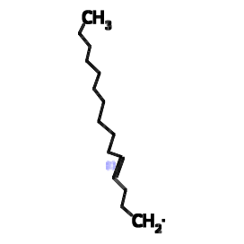 [CH2]CC/C=C/CCCCCCCCCC